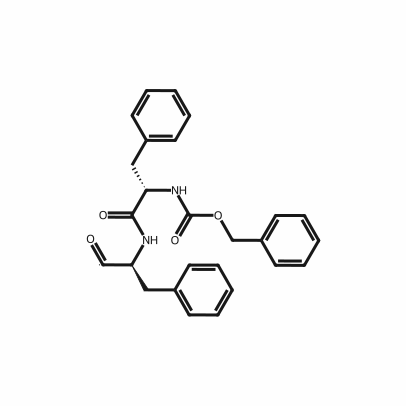 O=[C][C@H](Cc1ccccc1)NC(=O)[C@H](Cc1ccccc1)NC(=O)OCc1ccccc1